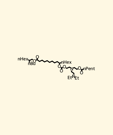 CCCCCCC(CCCC)COC(=O)CCCCCCCCC(CCCCCC)OC(=O)OCCN(CCOC(=O)CCCCC)CCN(CC)CC